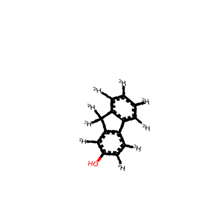 [2H]c1c([2H])c([2H])c2c(c1[2H])-c1c([2H])c([2H])c(O)c([2H])c1C2([2H])[2H]